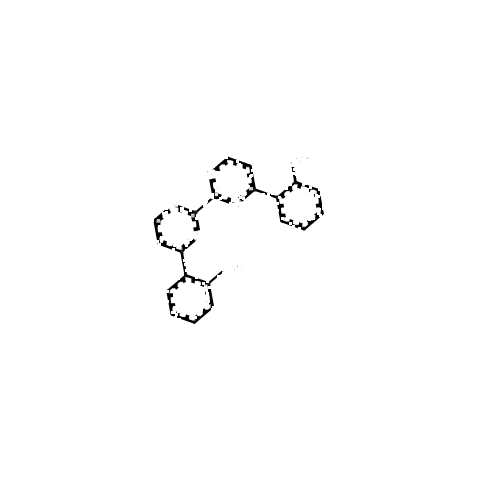 CSc1ccccc1-c1ccnc(-c2nccc(-c3ccccc3SC)n2)n1